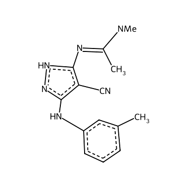 CNC(C)=Nc1[nH]nc(Nc2cccc(C)c2)c1C#N